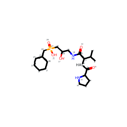 CC(C)C([AsH]C(=O)C1CCCN1)C(=O)NCC(O)CP(=O)(O)CC1CCCCC1